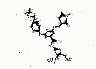 COCc1nc(NC(=O)c2cc(OCC3CCN(C)C3=O)cc(Oc3ccc(-c4nnc(C)o4)cc3)c2)sc1C(=O)O